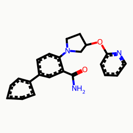 NC(=O)c1cc(-c2ccccc2)ccc1N1CCC(Oc2ccccn2)C1